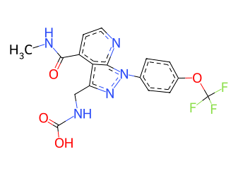 CNC(=O)c1ccnc2c1c(CNC(=O)O)nn2-c1ccc(OC(F)(F)F)cc1